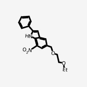 CCOCCOCc1cc([N+](=O)[O-])c2[nH]c(-c3ccccc3)cc2c1